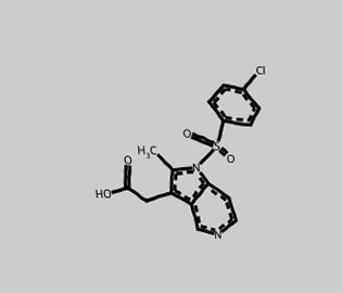 Cc1c(CC(=O)O)c2cnccc2n1S(=O)(=O)c1ccc(Cl)cc1